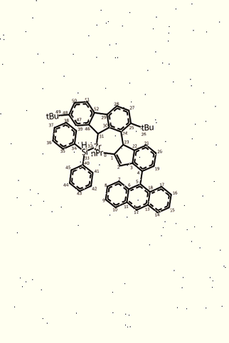 CCCC1=Cc2c(-c3c4ccccc4cc4ccccc34)cccc2C1c1c(C(C)(C)C)ccc2c1[CH]([Zr][SiH](c1ccccc1)c1ccccc1)c1cc(C(C)(C)C)ccc1-2